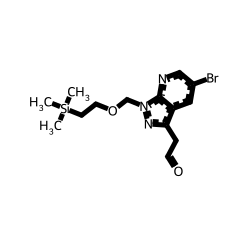 C[Si](C)(C)CCOCn1nc(CC=O)c2cc(Br)cnc21